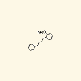 COc1ccccc1CCCCc1ccccc1